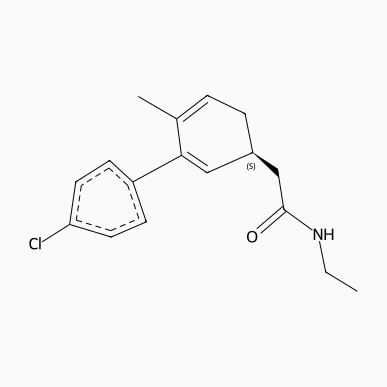 CCNC(=O)C[C@H]1C=C(c2ccc(Cl)cc2)C(C)=CC1